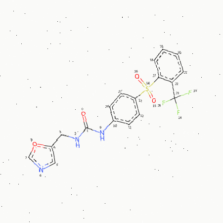 O=C(NCc1cnco1)Nc1ccc(S(=O)(=O)c2ccccc2C(F)(F)F)cc1